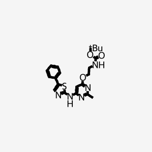 Cc1nc(Nc2ncc(-c3ccccc3)s2)cc(OCCNC(=O)OC(C)(C)C)n1